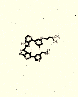 CCNCc1cncc(-c2cnc3[nH]nc(-c4nc5c(-c6cc(F)cc(NCCN(C)C)c6)nccc5[nH]4)c3c2F)c1